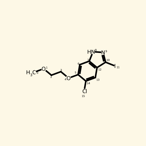 COCCOc1cc2[nH]nc(I)c2cc1Cl